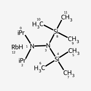 CC(C)N(C(C)C)N([Si](C)(C)C)[Si](C)(C)C.[RbH]